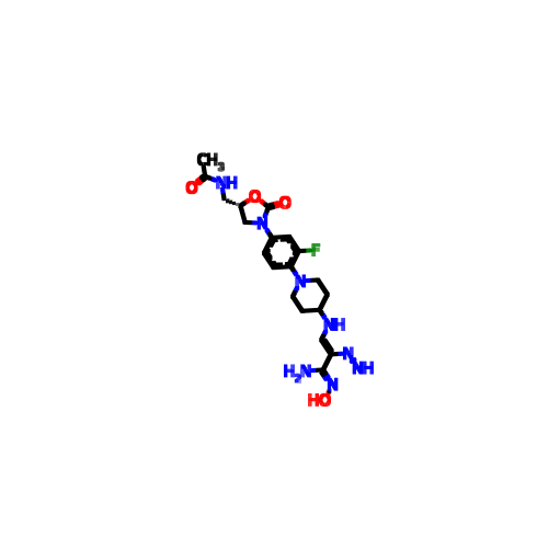 CC(=O)NC[C@H]1CN(c2ccc(N3CCC(N/C=C(N=N)/C(N)=N/O)CC3)c(F)c2)C(=O)O1